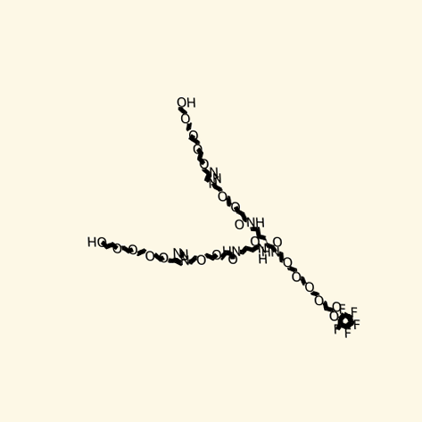 O=C(CCOCCOCCn1cc(COCCOCCOCCOCCO)nn1)NCCCC[C@@H](NC(=O)CCCNC(=O)CCOCCOCCn1cc(COCCOCCOCCOCCO)nn1)C(=O)NCCOCCOCCOCCOCCC(=O)Oc1c(F)c(F)c(F)c(F)c1F